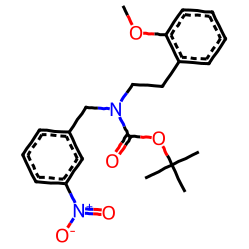 COc1ccccc1CCN(Cc1cccc([N+](=O)[O-])c1)C(=O)OC(C)(C)C